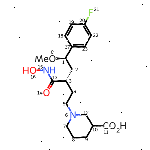 CO[C@H](C[C@H](CCN1CCCC(C(=O)O)C1)C(=O)NO)c1ccc(F)cc1